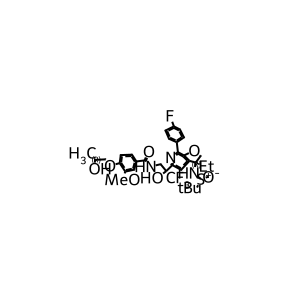 CC[C@]1(N[S+]([O-])C(C)(C)C)COc2c1cc(C(O)(CNC(=O)c1ccc(OC[C@@H](C)O)c(OC)c1)C(F)(F)F)nc2-c1ccc(F)cc1